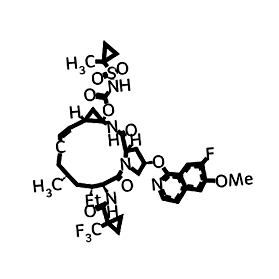 CC[C@@H]1C[C@H](C)CC/C=C\[C@@H]2C[C@]2(OC(=O)NS(=O)(=O)C2(C)CC2)NC(=O)[C@@H]2C[C@@H](Oc3nccc4cc(OC)c(F)cc34)CN2C(=O)[C@H]1NC(=O)C1(C(F)(F)F)CC1